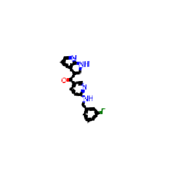 O=C(c1ccc(NCc2cccc(F)c2)nc1)C1CNc2ncccc21